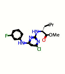 COC(=O)[C@@H](CC(C)C)Nc1nc(Cl)cc(Nc2cccc(F)c2)n1